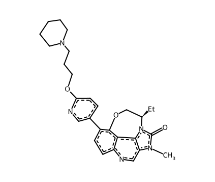 CC[C@@H]1COc2c(-c3ccc(OCCCN4CCCCC4)nc3)ccc3ncc4c(c23)n1c(=O)n4C